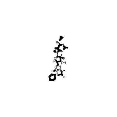 CC(=O)[C@H](C)NP(=O)(OC[C@@]1(F)O[C@@H](n2cnc3c(NC4CC4)nc(C)nc32)[C@](C)(F)[C@@H]1O)Oc1ccccc1